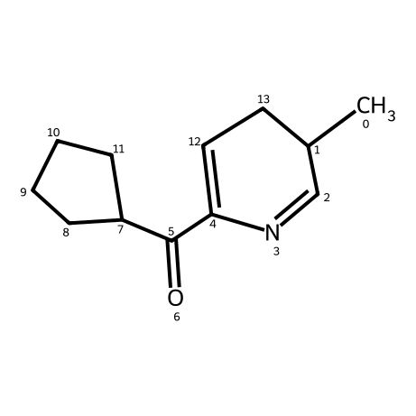 CC1C=NC(C(=O)C2CCCC2)=CC1